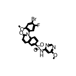 COc1cc(NS(=O)(=O)c2ccc3c(ccc(=O)n3-c3cc(F)c(Br)cc3OC)c2)ncn1